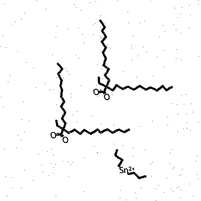 CCCCCCCCCCCCC(CC)(CCCCCCCCCCCC)C(=O)[O-].CCCCCCCCCCCCC(CC)(CCCCCCCCCCCC)C(=O)[O-].CCC[CH2][Sn+2][CH2]CCC